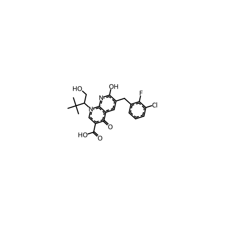 CC(C)(C)C(CO)n1cc(C(=O)O)c(=O)c2cc(Cc3cccc(Cl)c3F)c(O)nc21